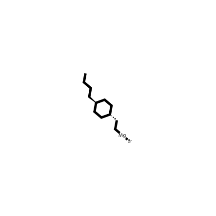 CCCC[C@H]1CC[C@H](C[CH2][Mg][Br])CC1